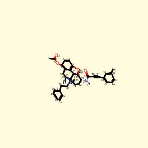 CC(=O)Oc1ccc2c3c1C[C@@H]1[C@@H]4CC[C@@H](N(C)C(=O)C#Cc5cccc(C)c5)[C@H](O2)[C@]34CCN1CCc1ccccc1